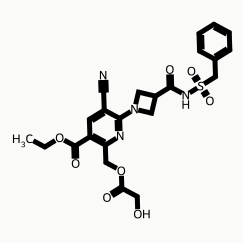 CCOC(=O)c1cc(C#N)c(N2CC(C(=O)NS(=O)(=O)Cc3ccccc3)C2)nc1COC(=O)CO